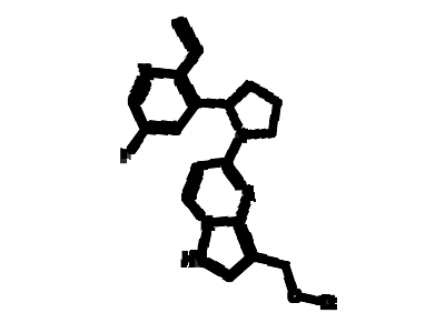 C=Cc1ncc(F)cc1C1CCCN1C1=NC2=C(COCC)CNN2C=C1